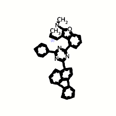 C=Nc1oc2cccc(-c3nc(-c4ccccc4)nc(-c4ccc5c6c(cccc46)-c4ccccc4-5)n3)c2c1/C=C\C